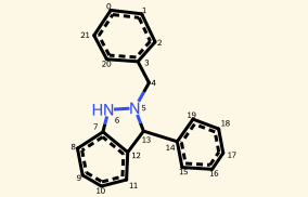 c1ccc(CN2Nc3ccccc3C2c2ccccc2)cc1